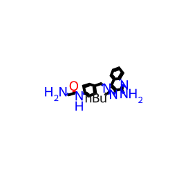 CCCCc1nc2c(N)nc3ccccc3c2n1Cc1ccc(NC(=O)CN)cc1